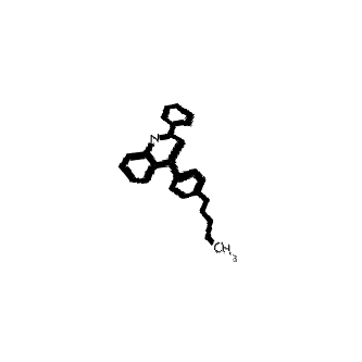 CCCCCc1ccc(-c2cc(-c3ccccc3)nc3ccccc23)cc1